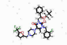 Cc1c(N2CCN(CC3CC=C(C(F)(F)F)O3)CC2)c(=O)n(C[C@H](O[Si](C)(C)C(C)(C)C)c2ccccc2)c(=O)n1Cc1ccccc1F